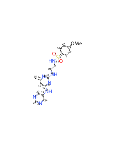 COc1ccc(S(=O)(=O)NCCNc2nc(C)cc(Nc3cncnc3)n2)cc1